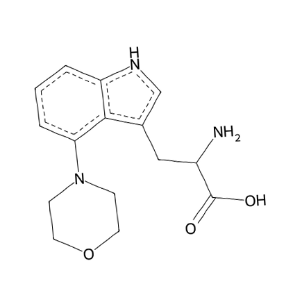 NC(Cc1c[nH]c2cccc(N3CCOCC3)c12)C(=O)O